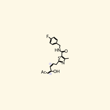 CC(=O)/C=C(O)\C=C/Cc1nc(C)c(C(=O)NCc2ccc(F)cc2)s1